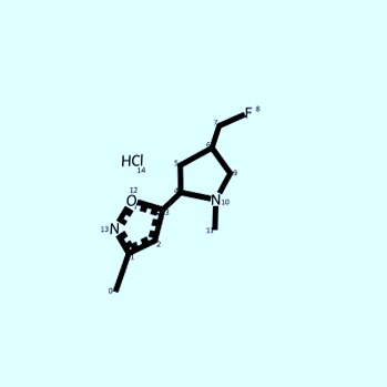 Cc1cc(C2CC(CF)CN2C)on1.Cl